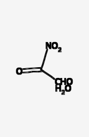 O.O=CC(=O)[N+](=O)[O-]